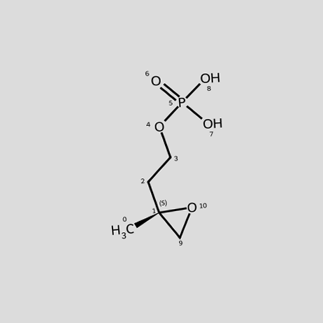 C[C@]1(CCOP(=O)(O)O)CO1